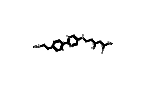 CCCCCCCCCCCCc1ccc(-c2ncc(OCCC(F)CC(F)CCC)cn2)cc1